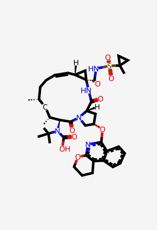 C[C@@H]1CC/C=C\[C@@H]2C[C@@]2(C(=O)NS(=O)(=O)C2(C)CC2)NC(=O)[C@@H]2C[C@@H](Oc3nc4c(c5ccccc35)CCCO4)CN2C(=O)[C@@H](N(C(=O)O)C(C)(C)C)[C@H](C)C1